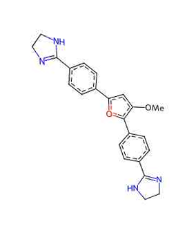 COc1cc(-c2ccc(C3=NCCN3)cc2)oc1-c1ccc(C2=NCCN2)cc1